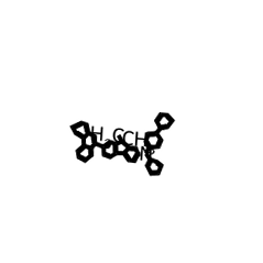 CC1(C)c2cc(-c3cc4ccccc4c4ccccc34)ccc2-c2ccc(N(c3ccccc3)c3ccc(-c4ccccc4)cc3)cc21